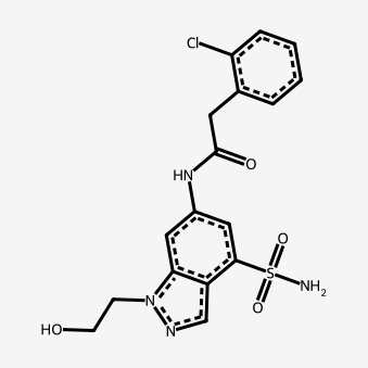 NS(=O)(=O)c1cc(NC(=O)Cc2ccccc2Cl)cc2c1cnn2CCO